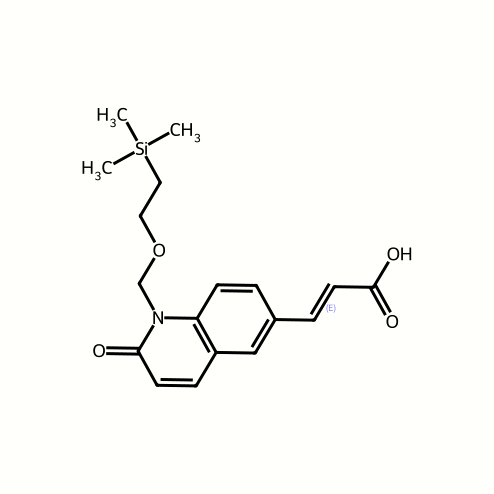 C[Si](C)(C)CCOCn1c(=O)ccc2cc(/C=C/C(=O)O)ccc21